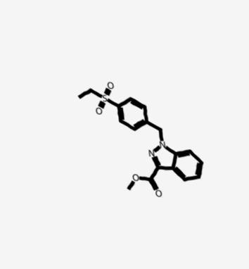 CCS(=O)(=O)c1ccc(Cn2nc(C(=O)OC)c3ccccc32)cc1